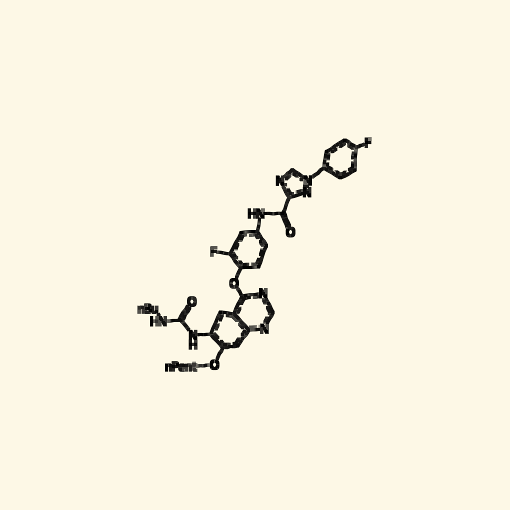 CCCCCOc1cc2ncnc(Oc3ccc(NC(=O)c4ncn(-c5ccc(F)cc5)n4)cc3F)c2cc1NC(=O)NCCCC